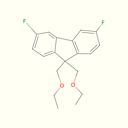 CCOCC1(COCC)c2ccc(F)cc2-c2cc(F)ccc21